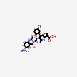 Cc1cc(-c2cc(Cl)ccc2OCCn2c(C)nc3c(c2=O)C[C@H](N(C)C)CC3)c2scc(C(=O)O)c2n1